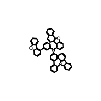 c1c(-c2ccccc2-n2c3c(c4ccccc42)C=CCC3)ccc(N(c2cccc(-c3cccc4oc5ccccc5c34)c2)c2cccc3oc4c5ccccc5ccc4c23)c#1